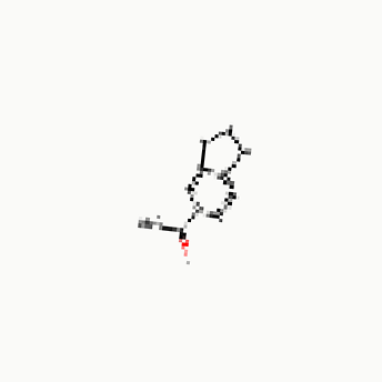 CNC(=O)c1ccc2c(c1)CCC2